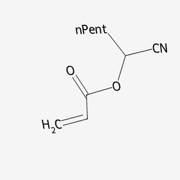 C=CC(=O)OC(C#N)CCCCC